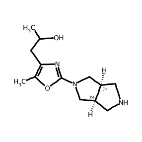 Cc1oc(N2C[C@H]3CNC[C@H]3C2)nc1CC(C)O